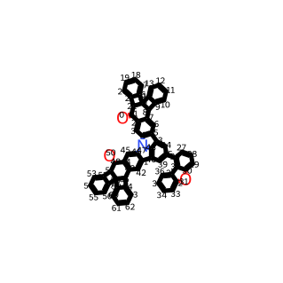 O=C1c2cc3c(cc2C2c4ccccc4C24c2ccccc2C14)c1cc(-c2cccc4oc5ccccc5c24)cc2c4cc5c(cc4n3c12)C(=O)C1c2ccccc2C12c1ccccc1C52